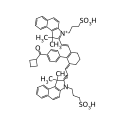 CC1(C)C(/C=C/C2=C(c3ccc(C(=O)C4CCC4)cc3)C(=C/C=C3/N(CCCS(=O)(=O)O)c4ccc5ccccc5c4C3(C)C)/CCC2)=[N+](CCCS(=O)(=O)O)c2ccc3ccccc3c21